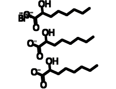 CCCCCCC(O)C(=O)[O-].CCCCCCC(O)C(=O)[O-].CCCCCCC(O)C(=O)[O-].[Bi+3]